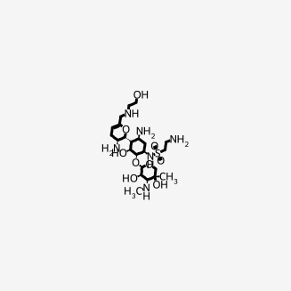 CN[C@@H]1[C@@H](O)[C@@H](O[C@H]2[C@H](NS(=O)(=O)CCN)C[C@H](N)C([C@H]3OC(CNCCO)=CC[C@H]3N)[C@@H]2O)OC[C@]1(C)O